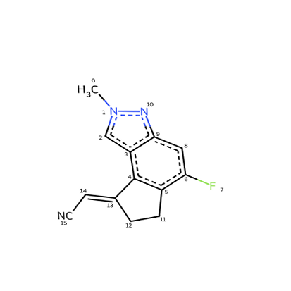 Cn1cc2c3c(c(F)cc2n1)CCC3=CC#N